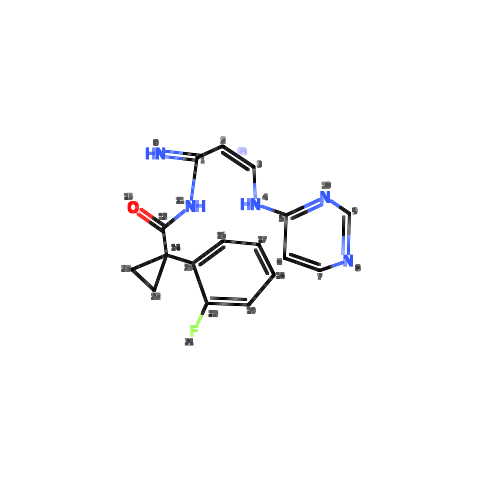 N=C(/C=C\Nc1ccncn1)NC(=O)C1(c2ccccc2F)CC1